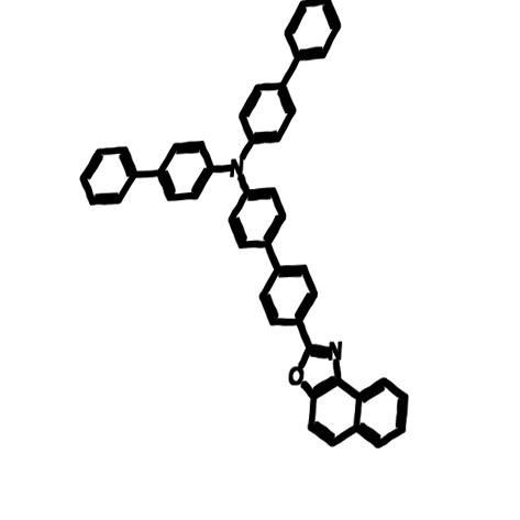 c1ccc(-c2ccc(N(c3ccc(-c4ccccc4)cc3)c3ccc(-c4ccc(-c5nc6c(ccc7ccccc76)o5)cc4)cc3)cc2)cc1